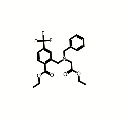 CCOC(=O)CN(Cc1ccccc1)Cc1cc(C(F)(F)F)ccc1C(=O)OCC